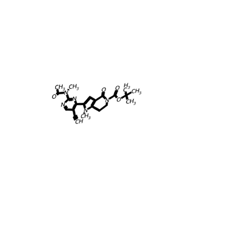 C#Cc1cnc(N(C)C(C)=O)nc1-c1cc2c(n1C)CCN(C(=O)OC(C)(C)C)C2=O